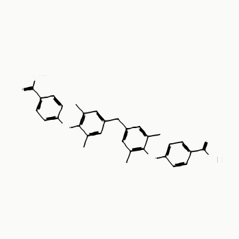 Cc1cc(Cc2cc(C)c(Oc3ccc(C(=O)O)cc3)c(C)c2)cc(C)c1Oc1ccc(C(=O)O)cc1